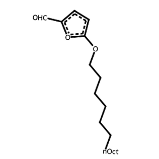 CCCCCCCCCCCCCCOc1ccc(C=O)o1